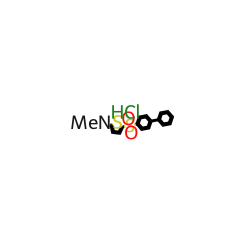 CNc1ccc(S(=O)(=O)c2ccc(-c3ccccc3)cc2)s1.Cl